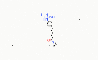 N=C(N)Nc1ccc(CCCCCC(=O)N2CC=CC2)cc1